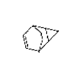 C1=CC2CC[C]1C1CC21